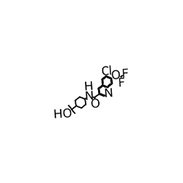 CC(C)(O)C1CCC(NC(=O)c2cnc3cc(OC(F)F)c(Cl)cc3c2)CC1